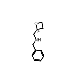 c1ccc(CNC[C@@H]2CCO2)cc1